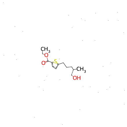 CCOC(=O)c1ccc(CCCC(C)CO)s1